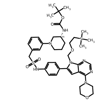 CC(C)(C)OC(=O)N[C@@H]1CCCN(c2cccc(CS(=O)(=O)Nc3ccc(-c4cc5c(N6CCOCC6)ncnc5n4COCC[Si](C)(C)C)cc3)c2)C1